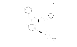 Cc1ccc(C#CC(C)(C)S(=O)(=O)C2CC2)nc1C(Cc1cc(F)cc(F)c1)NC(=O)CCn1cccn1